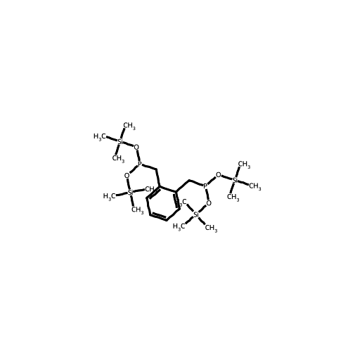 C[Si](C)(C)OP(Cc1ccccc1CP(O[Si](C)(C)C)O[Si](C)(C)C)O[Si](C)(C)C